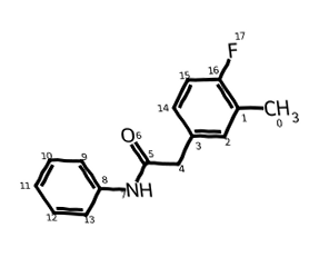 Cc1cc(CC(=O)Nc2ccccc2)ccc1F